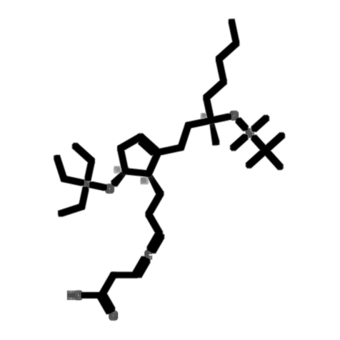 CCCCC[C@@](C)(CCC1=CC[C@H](O[Si](CC)(CC)CC)[C@@H]1CCC=C=CCC(=O)O)O[Si](C)(C)C(C)(C)C